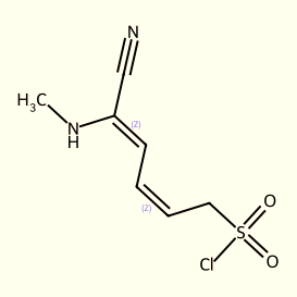 CN/C(C#N)=C\C=C/CS(=O)(=O)Cl